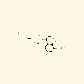 COc1cccc2c(N3CCN(CCO)CC3)ccnc12